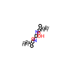 CCCC1(CCC)c2ccccc2-c2cc3nc([C]4C=CC(c5nc6cc7c(cc6o5)C(CCC)(CCC)c5ccccc5-7)=CC4O)oc3cc21